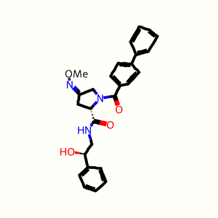 CON=C1C[C@@H](C(=O)NC[C@H](O)c2ccccc2)N(C(=O)c2ccc(-c3ccccc3)cc2)C1